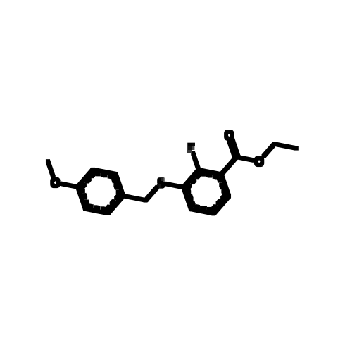 CCOC(=O)c1cccc(SCc2ccc(OC)cc2)c1F